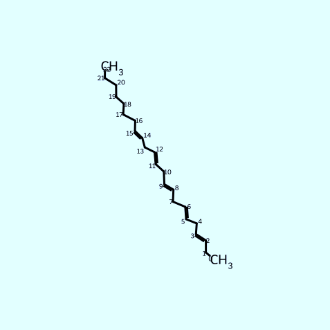 CCC=CCC=CCC=CCC=CCC=CCCCCCCC